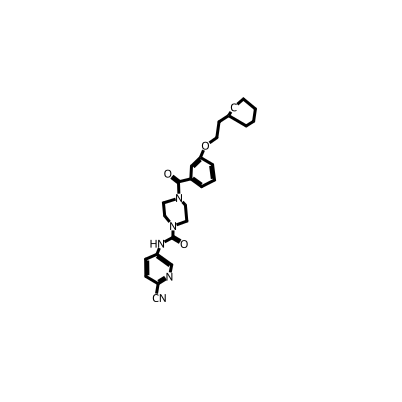 N#Cc1ccc(NC(=O)N2CCN(C(=O)c3cccc(OCCC4CCCCC4)c3)CC2)cn1